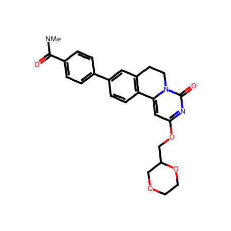 CNC(=O)c1ccc(-c2ccc3c(c2)CCn2c-3cc(OCC3COCCO3)nc2=O)cc1